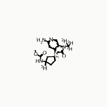 [2H]C1(NC(=O)OC)CC[C@@H](n2c(=O)n(C([2H])([2H])[2H])c3cnc(N)cc32)C1